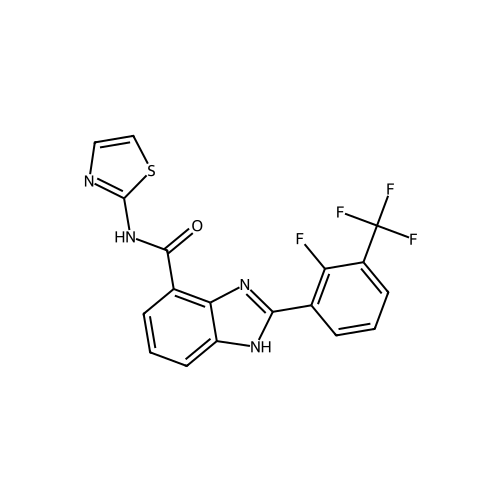 O=C(Nc1nccs1)c1cccc2[nH]c(-c3cccc(C(F)(F)F)c3F)nc12